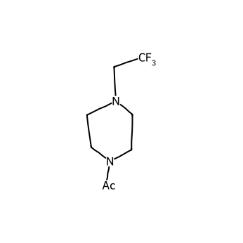 CC(=O)N1CCN(CC(F)(F)F)CC1